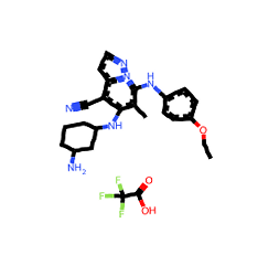 CCOc1ccc(Nc2c(C)c(NC3CCCC(N)C3)c(C#N)c3ccnn23)cc1.O=C(O)C(F)(F)F